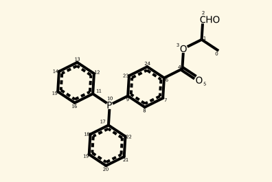 CC(C=O)OC(=O)c1ccc(P(c2ccccc2)c2ccccc2)cc1